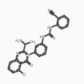 CC(N)c1nc2cccc(Cl)c2c(=O)n1-c1cccc(NC(=O)Nc2ccccc2C#N)c1